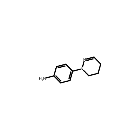 Nc1ccc(N2CCCC=N2)cc1